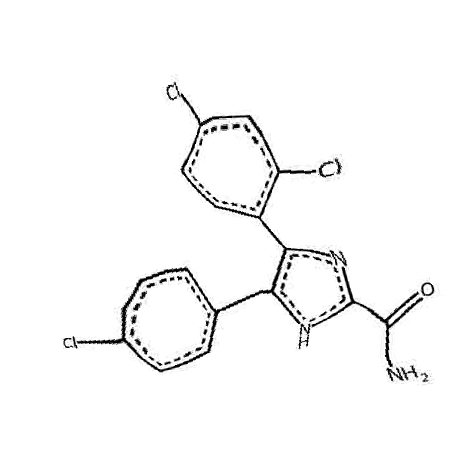 NC(=O)c1nc(-c2ccc(Cl)cc2Cl)c(-c2ccc(Cl)cc2)[nH]1